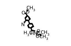 CCOC(=O)c1ccc(-c2ccc([C@@H](C)CNS(=O)(=O)C(C)C)cc2)c(C#N)c1